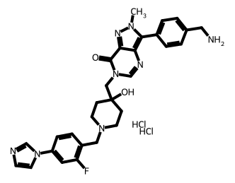 Cl.Cl.Cn1nc2c(=O)n(CC3(O)CCN(Cc4ccc(-n5ccnc5)cc4F)CC3)cnc2c1-c1ccc(CN)cc1